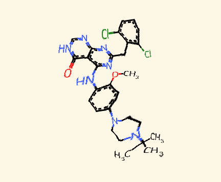 COc1cc(N2CCN(C(C)(C)C)CC2)ccc1Nc1nc(Cc2c(Cl)cccc2Cl)nc2nc[nH]c(=O)c12